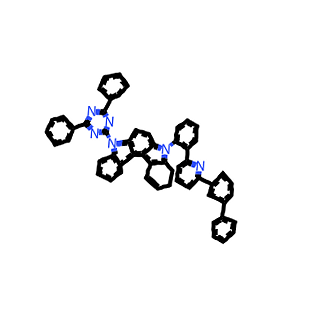 C1=Cc2c(n(-c3ccccc3-c3cccc(-c4cccc(-c5ccccc5)c4)n3)c3ccc4c(c5ccccc5n4-c4nc(-c5ccccc5)nc(-c5ccccc5)n4)c23)CC1